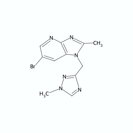 Cc1nc2ncc(Br)cc2n1Cc1ncn(C)n1